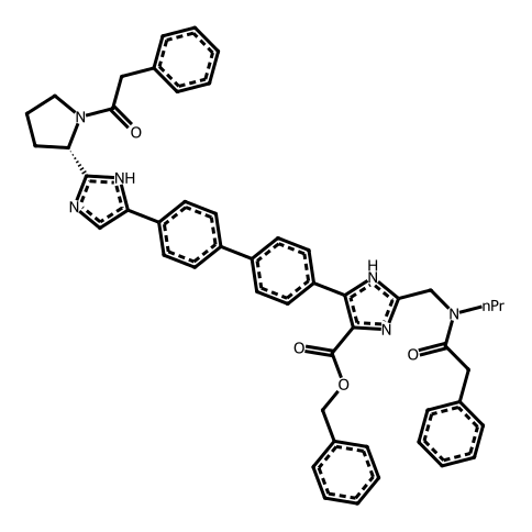 CCCN(Cc1nc(C(=O)OCc2ccccc2)c(-c2ccc(-c3ccc(-c4cnc([C@@H]5CCCN5C(=O)Cc5ccccc5)[nH]4)cc3)cc2)[nH]1)C(=O)Cc1ccccc1